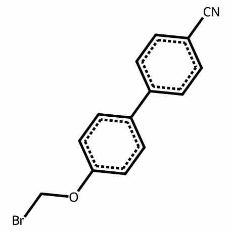 N#Cc1ccc(-c2ccc(OCBr)cc2)cc1